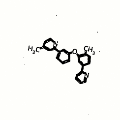 Cc1ccnc(-c2cccc(Oc3cc(-c4ccccn4)ccc3C)c2)c1